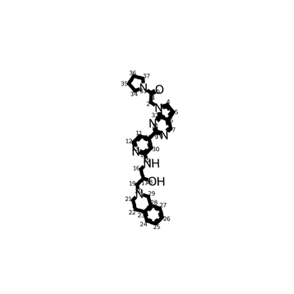 O=C(Cn1ccc2cnc(-c3ccnc(NCC(O)CN4CCc5ccccc5C4)c3)nc21)N1CCCC1